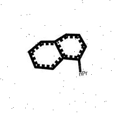 CCCc1cccc2c[c]ccc12